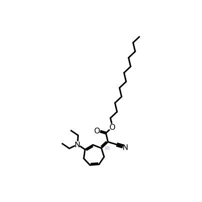 CCCCCCCCCCCCOC(=O)/C(C#N)=C1\C=C(N(CC)CC)CC=CC1